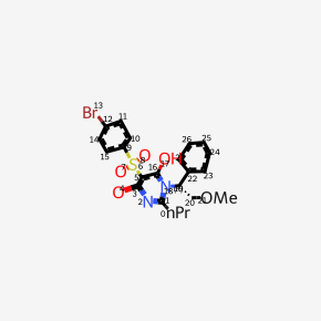 CCCc1nc(=O)c(S(=O)(=O)c2ccc(Br)cc2)c(O)n1[C@@H](COC)c1ccccc1